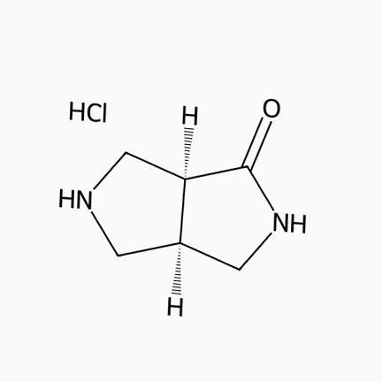 Cl.O=C1NC[C@H]2CNC[C@@H]12